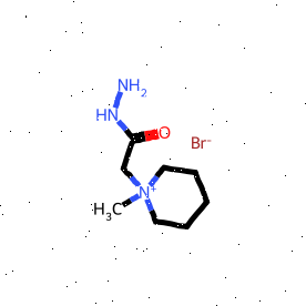 C[N+]1(CC(=O)NN)CCCCC1.[Br-]